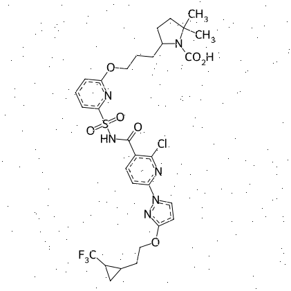 CC1(C)CCC(CCCOc2cccc(S(=O)(=O)NC(=O)c3ccc(-n4ccc(OCCC5CC5C(F)(F)F)n4)nc3Cl)n2)N1C(=O)O